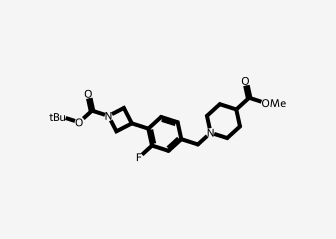 COC(=O)C1CCN(Cc2ccc(C3CN(C(=O)OC(C)(C)C)C3)c(F)c2)CC1